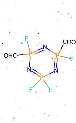 O=CP1(F)=NP(F)(F)=NP(F)(C=O)=N1